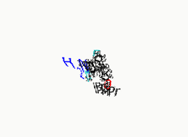 CC(C)[Si](Oc1ccc2c(c1)CC[C@H](c1ccc(F)cc1)[C@@H]2c1ccc(N)c(F)c1)(C(C)C)C(C)C